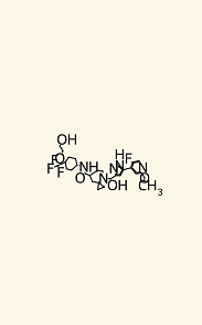 COc1cc(-c2cc(C(O)N3CCC(C(=O)N[C@H]4CC[C@@](OCCO)(C(F)(F)F)CC4)CC34CC4)n[nH]2)c(F)cn1